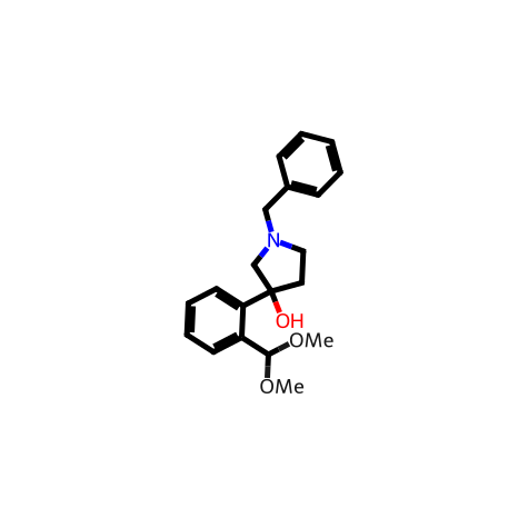 COC(OC)c1ccccc1C1(O)CCN(Cc2ccccc2)C1